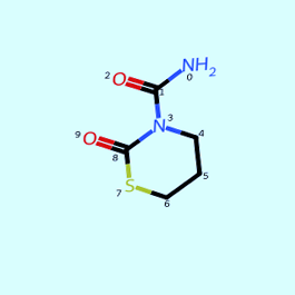 NC(=O)N1CCCSC1=O